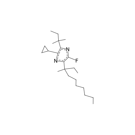 CCCCCCCC(C)(CC)c1nc(C2CC2)c(C(C)(C)CC)nc1F